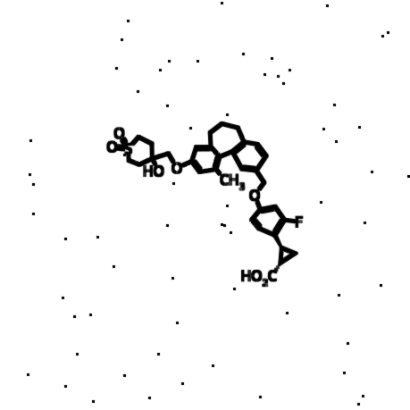 Cc1cc(OCC2(O)CCS(=O)(=O)CC2)cc2c1-c1cc(COc3ccc([C@H]4C[C@@H]4C(=O)O)c(F)c3)ccc1CCC2